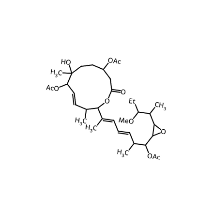 CCC(OC)C(C)C1OC1C(OC(C)=O)C(C)/C=C/C=C(\C)C1OC(=O)CC(OC(C)=O)CCC(C)(O)C(OC(C)=O)/C=C/C1C